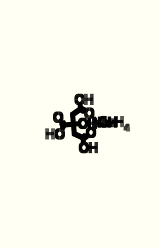 O=C(O)CC(O)(CC(=O)O)C(=O)O.[GeH4].[NaH]